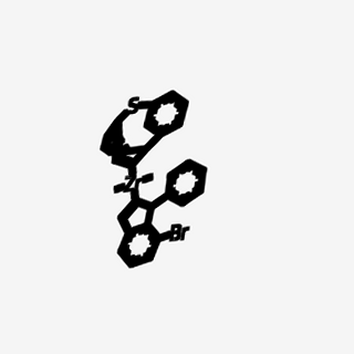 [CH3][Zr]([CH3])([C]1=Cc2c3cccc2C1c1cccc(c1)S3)[C]1=Cc2cccc(Br)c2C1c1ccccc1